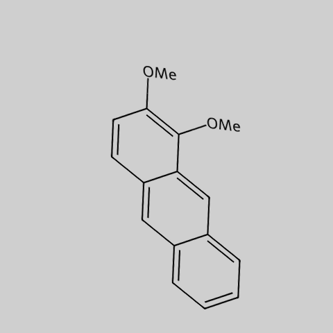 COc1ccc2cc3ccccc3cc2c1OC